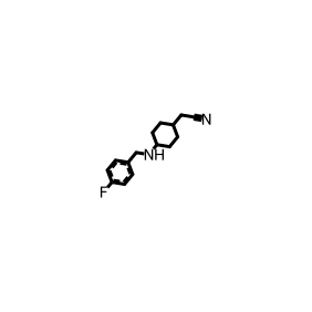 N#CCC1CCC(NCc2ccc(F)cc2)CC1